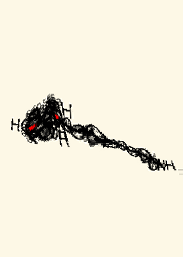 CC1N=c2c(cc3c(c2S(=O)(=O)O)Oc2c(cc4c(c2S(=O)(=O)NCCOCCOCCOCCOCCOCCOCCOCCOCCN)NC(C)C4(C)C)C=3c2ccccc2C(=O)O)C1(C)C